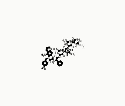 CN(C)c1ccc(CN(c2ccc3ncccc3c2N)C(O)C(=O)NC(C(=O)NC(NC(=N)N)C(=O)NC(NC(=N)N)C(=O)NC(NC(=N)N)C(=O)NC(NC(=N)N)C(N)=O)c2ccccc2)cc1